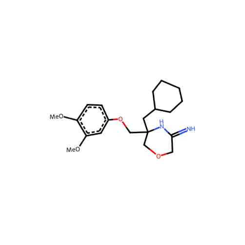 COc1ccc(OCC2(CC3CCCCC3)COCC(=N)N2)cc1OC